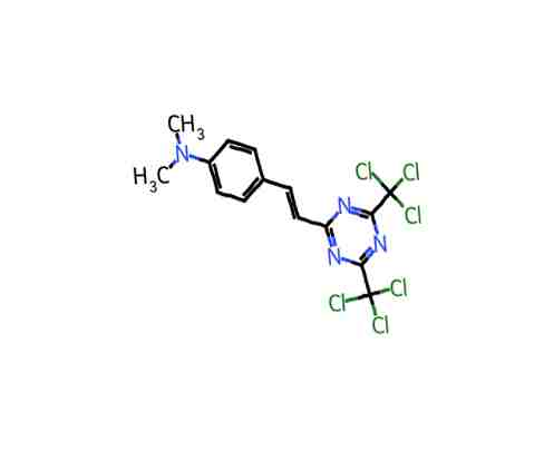 CN(C)c1ccc(C=Cc2nc(C(Cl)(Cl)Cl)nc(C(Cl)(Cl)Cl)n2)cc1